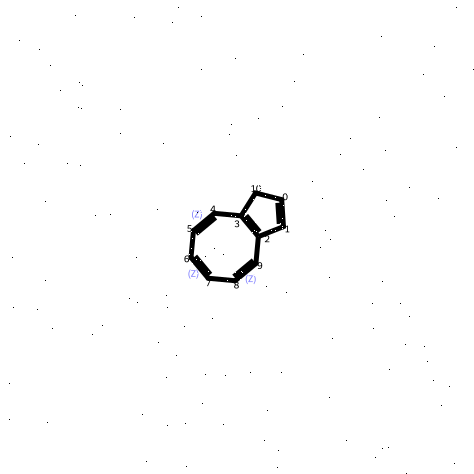 C1=CC2=C(\C=C/C=C\C=C/2)C1